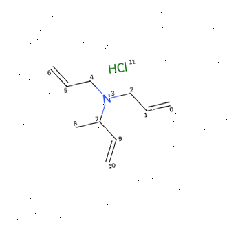 C=CCN(CC=C)C(C)C=C.Cl